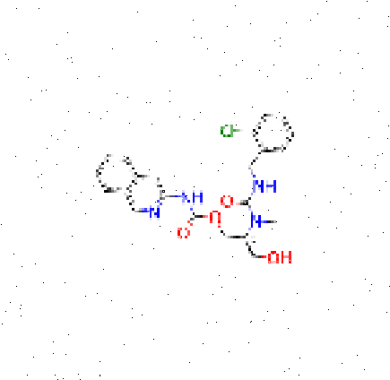 CN(C(=O)NCc1ccccc1Cl)[C@@H](CO)COC(=O)Nc1cc2ccccc2cn1